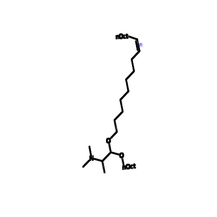 CCCCCCCC/C=C\CCCCCCCCOC(OCCCCCCCC)C(C)N(C)C